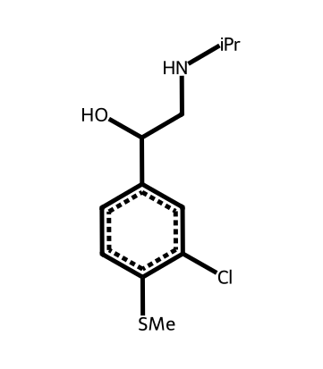 CSc1ccc(C(O)CNC(C)C)cc1Cl